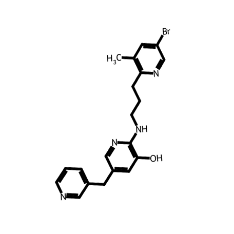 Cc1cc(Br)cnc1CCCNc1ncc(Cc2cccnc2)cc1O